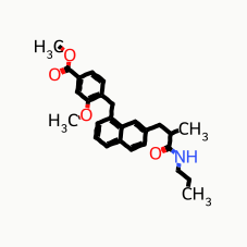 CCCNC(=O)C(C)Cc1ccc2cccc(Cc3ccc(C(=O)OC)cc3OC)c2c1